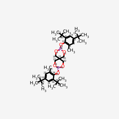 Cc1cc(C(C)(C)C)cc(C(C)(C)C)c1OP1OCC2(CO1)COP(Oc1c(C)cc(C(C)(C)C)cc1C(C)(C)C)OC2